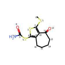 CSc1sc(SC(N)=O)c2c1C(=O)CCCC2